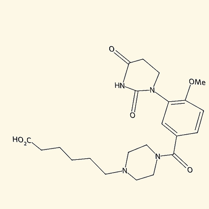 COc1ccc(C(=O)N2CCN(CCCCCC(=O)O)CC2)cc1N1CCC(=O)NC1=O